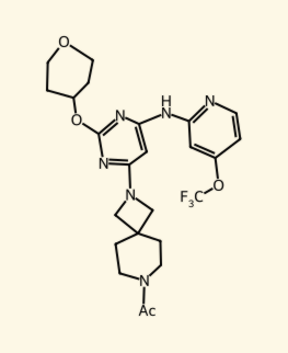 CC(=O)N1CCC2(CC1)CN(c1cc(Nc3cc(OC(F)(F)F)ccn3)nc(OC3CCOCC3)n1)C2